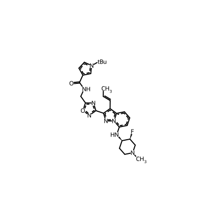 C/C=C/c1c(-c2noc(CNC(=O)c3ccn(C(C)(C)C)c3)n2)nn2c(N[C@@H]3CCN(C)C[C@@H]3F)cccc12